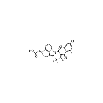 Cc1cc(Cl)cc(Cl)c1-c1noc(C(C)(C)F)c1C(=O)n1cc2c3c(cccc31)/C(=C/C(=O)O)CC2